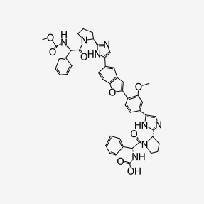 COC(=O)N[C@@H](C(=O)N1CCC[C@H]1c1ncc(-c2ccc3oc(-c4ccc(-c5cnc([C@@H]6CCCN6C(=O)[C@H](NC(=O)O)c6ccccc6)[nH]5)cc4OC)cc3c2)[nH]1)c1ccccc1